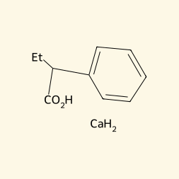 CCC(C(=O)O)c1ccccc1.[CaH2]